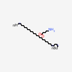 CCC/C=C\CCCCCCCCCCCC(CCCCCCCC/C=C\C/C=C\CCCC)OC(=O)CCCCN